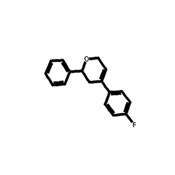 Fc1ccc(C2=CCOC(c3ccccc3)C2)cc1